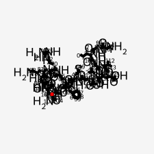 CC[C@H](C)[C@H](NC(=O)[C@H](C)NC(=O)CN)C(=O)N[C@@H](CC(C)C)C(=O)N[C@H](C(=O)N[C@@H](CCC(=O)O)C(=O)N[C@@H](CCC(=O)N[C@@H](CCSC)C(=O)N[C@@H](Cc1ccccc1)C(=O)NCCC(=O)N[C@@H](CCCNC(=N)N)C(=O)N[C@@H](CCCN)C(=O)N[C@@H](CO)C(=O)N[C@H](C(=O)N[C@H]([C]=O)CC(N)=O)[C@@H](C)O)C(=O)O)C(C)C